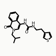 CC(C)Cn1cc(NC(=O)NCCc2ccsc2)c2ccccc2c1=O